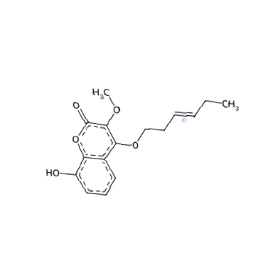 CC/C=C/CCOc1c(OC)c(=O)oc2c(O)cccc12